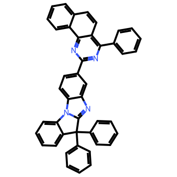 c1ccc(-c2nc(-c3ccc4c(c3)nc3n4-c4ccccc4C3(c3ccccc3)c3ccccc3)nc3c2ccc2ccccc23)cc1